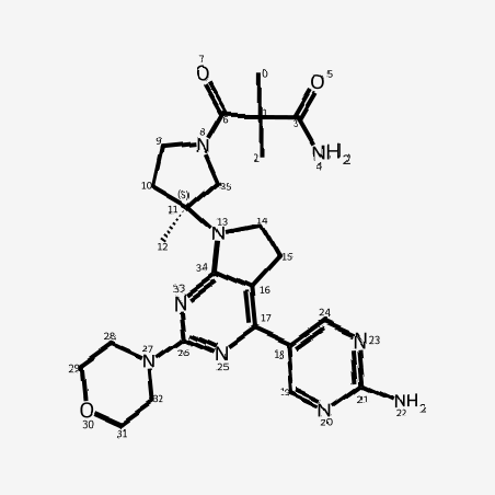 CC(C)(C(N)=O)C(=O)N1CC[C@](C)(N2CCc3c(-c4cnc(N)nc4)nc(N4CCOCC4)nc32)C1